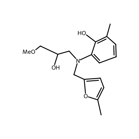 COCC(O)CN(Cc1ccc(C)o1)c1cccc(C)c1O